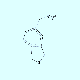 O=S(=O)(O)Cc1ccc2c(c1)CSC2